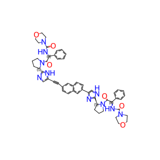 O=C(N[C@@H](C(=O)N1CCC[C@H]1c1nc(-c2ccc3cc(C#Cc4cnc([C@@H]5CCCN5C(=O)[C@H](NC(=O)N5CCOCC5)c5ccccc5)[nH]4)ccc3c2)c[nH]1)c1ccccc1)N1CCOCC1